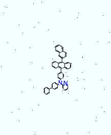 c1ccc(-c2ccc(N(c3ccc(-c4c5ccccc5c(-c5ccc6ccccc6c5)c5ccccc45)cc3)c3ccccn3)cc2)cc1